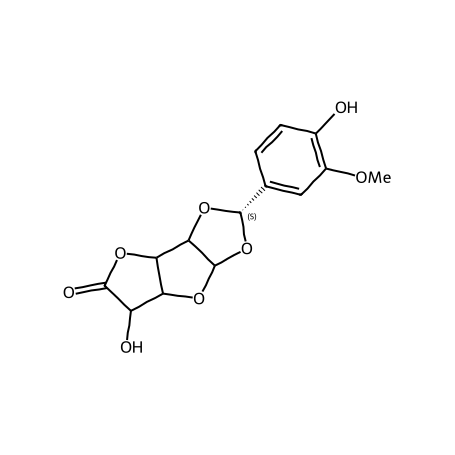 COc1cc([C@@H]2OC3OC4C(O)C(=O)OC4C3O2)ccc1O